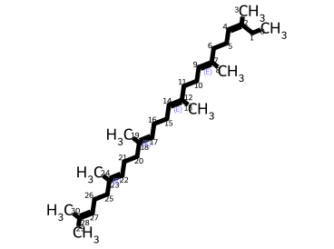 CCC(C)=CCC/C(C)=C/CC/C(C)=C/CC/C=C(\C)CC/C=C(\C)CCC=C(C)C